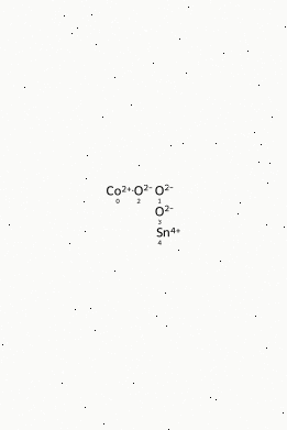 [Co+2].[O-2].[O-2].[O-2].[Sn+4]